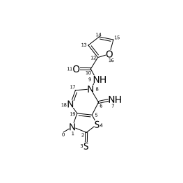 Cn1c(=S)sc2c(=N)n(NC(=O)c3ccco3)cnc21